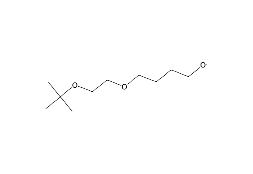 CC(C)(C)OCCOCCCC[O]